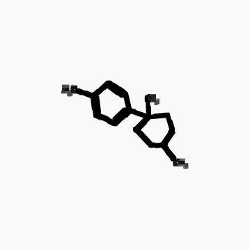 Cc1ccc(C2(C)CCC(C)CC2)cc1